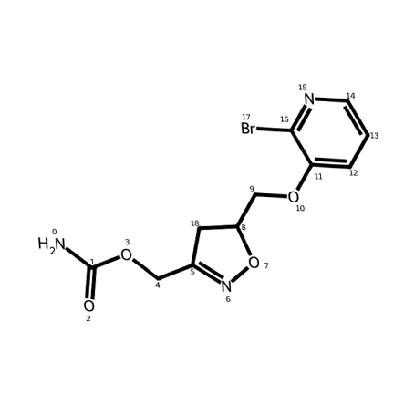 NC(=O)OCC1=NOC(COc2cccnc2Br)C1